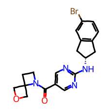 O=C(c1cnc(N[C@H]2Cc3ccc(Br)cc3C2)nc1)N1CCC12COC2